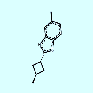 Cc1ccc2sc([C@H]3C[C@H](C)C3)nc2c1